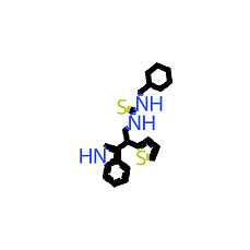 S=C(NCC1CCCCC1)NCC(c1cccs1)c1c[nH]c2ccccc12